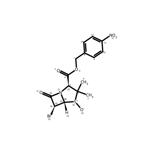 CC1(C)[C@H](C(=O)OCc2ccc([N+](=O)[O-])cc2)N2C(=O)[C@H](Br)[C@H]2[S+]1[O-]